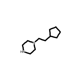 C1CCC(CCN2CCNCC2)C1